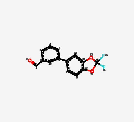 O=Cc1cccc(-c2ccc3c(c2)OC(F)(F)O3)c1